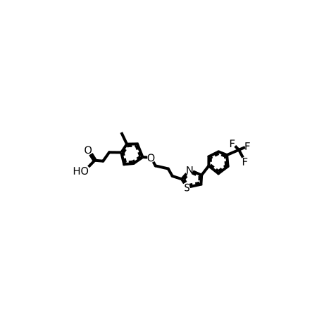 Cc1cc(OCCCc2nc(-c3ccc(C(F)(F)F)cc3)cs2)ccc1CCC(=O)O